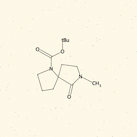 CN1CCC2(CCCN2C(=O)OC(C)(C)C)C1=O